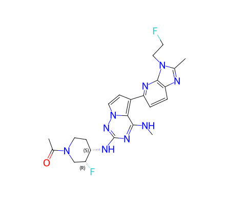 CNc1nc(N[C@H]2CCN(C(C)=O)C[C@H]2F)nn2ccc(-c3ccc4nc(C)n(CCF)c4n3)c12